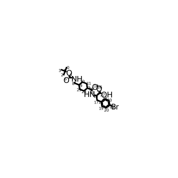 CC(C)(C)OC(=O)NCC1CCC(C(=O)NC(Cc2ccc(Br)cc2)C(=O)O)CC1